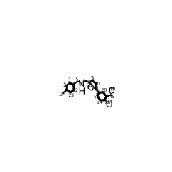 Cc1ccc(CNCc2ccc(-c3ccc(Cl)c(C=O)c3)o2)cc1